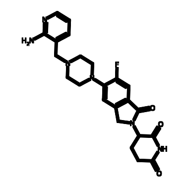 Nc1ncccc1CN1CCN(c2cc3c(cc2F)C(=O)N(C2CCC(=O)NC2=O)C3)CC1